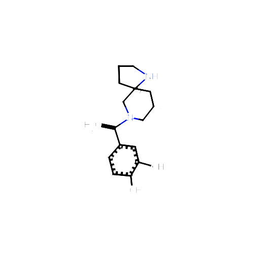 C=C(c1ccc(C)c(C)c1)N1CCCC2(CCCN2)C1